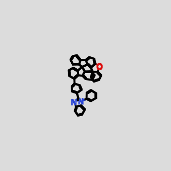 c1ccc(-n2c(-c3ccc(-c4cccc5c4-c4ccccc4C54c5ccccc5-c5ccc6oc7ccccc7c6c54)cc3)nc3ccccc32)cc1